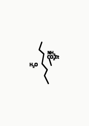 CCCCCCC.CCOC(C)=O.N.O